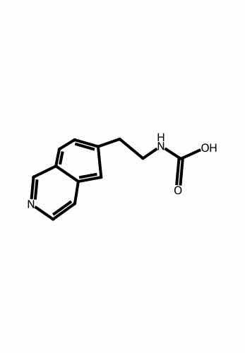 O=C(O)NCCc1ccc2cnccc2c1